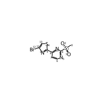 CS(=O)(=O)c1nccc(-c2nc(Br)cs2)n1